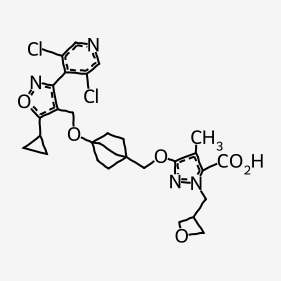 Cc1c(OCC23CCC(OCc4c(-c5c(Cl)cncc5Cl)noc4C4CC4)(CC2)CC3)nn(CC2COC2)c1C(=O)O